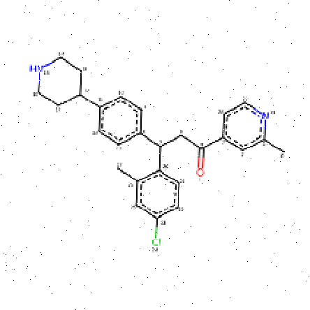 Cc1cc(C(=O)CC(c2ccc(C3CCNCC3)cc2)c2ccc(Cl)cc2C)ccn1